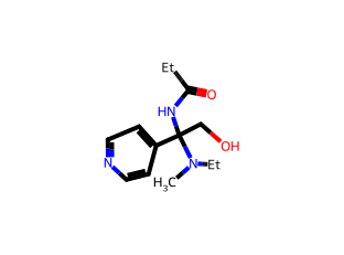 CCC(=O)NC(CO)(c1ccncc1)N(C)CC